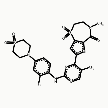 CCc1cc(N2CCS(=O)(=O)CC2)ccc1Nc1ncc(C(F)(F)F)c(-c2cc3c(s2)C(=S)N(C)CCS3(=O)=O)n1